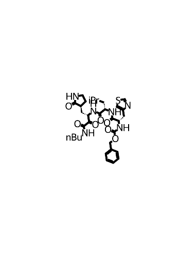 CCCCNC(=O)C(=O)[C@H](C[C@@H]1CCNC1=O)NC(=O)[C@H](CC(C)C)NC(=O)[C@H](Cc1cscn1)NC(=O)OCc1ccccc1